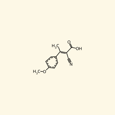 COc1ccc(/C(C)=C(\C#N)C(=O)O)cc1